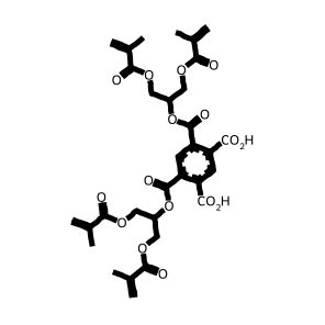 C=C(C)C(=O)OCC(COC(=O)C(=C)C)OC(=O)c1cc(C(=O)OC(COC(=O)C(=C)C)COC(=O)C(=C)C)c(C(=O)O)cc1C(=O)O